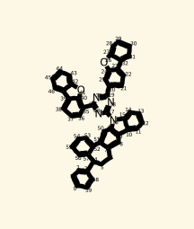 c1ccc(C2CCc3cc4c5ccccc5n(-c5nc(-c6ccc7c(c6)oc6ccccc67)nc(-c6cccc7c6oc6ccccc67)n5)c4cc3-c3ccccc32)cc1